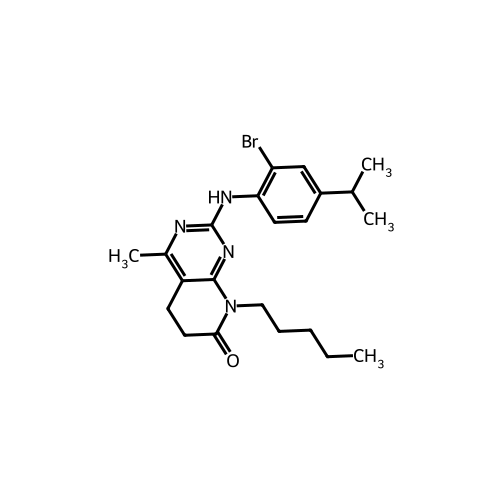 CCCCCN1C(=O)CCc2c(C)nc(Nc3ccc(C(C)C)cc3Br)nc21